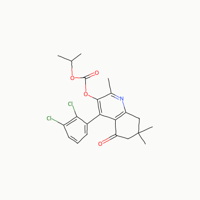 Cc1nc2c(c(-c3cccc(Cl)c3Cl)c1OC(=O)OC(C)C)C(=O)CC(C)(C)C2